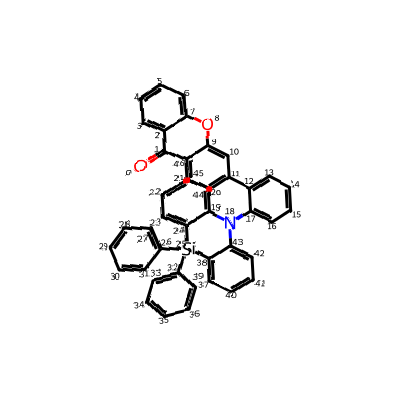 O=c1c2ccccc2oc2cc(-c3ccccc3N3c4ccccc4[Si](c4ccccc4)(c4ccccc4)c4ccccc43)ccc12